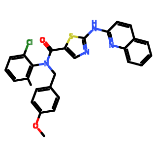 COc1ccc(CN(C(=O)c2cnc(Nc3ccc4ccccc4n3)s2)c2c(C)cccc2Cl)cc1